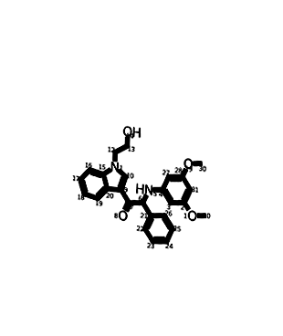 COc1cc(NC(C(=O)c2cn(CCO)c3ccccc23)c2ccccc2)cc(OC)c1